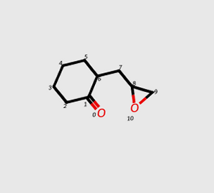 O=C1CCCCC1CC1CO1